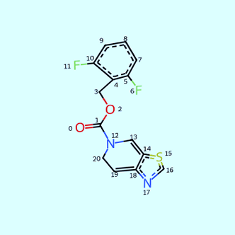 O=C(OCc1c(F)cccc1F)N1C=c2scnc2=CC1